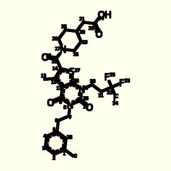 Cc1cccc(CCn2c(=O)c3c(C)c(C(=O)N4CCC(CC(=O)O)CC4)sc3n(CCC(F)(F)F)c2=O)c1